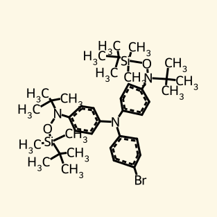 CC(C)(C)N(O[Si](C)(C)C(C)(C)C)c1ccc(N(c2ccc(Br)cc2)c2ccc(N(O[Si](C)(C)C(C)(C)C)C(C)(C)C)cc2)cc1